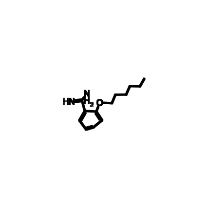 CCCCCCOc1ccccc1C(=N)N